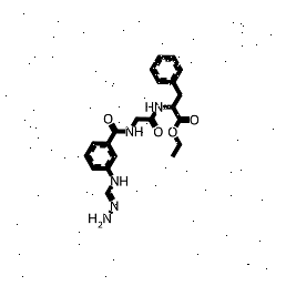 CCOC(=O)C(Cc1ccccc1)NC(=O)CNC(=O)c1cccc(NC=NN)c1